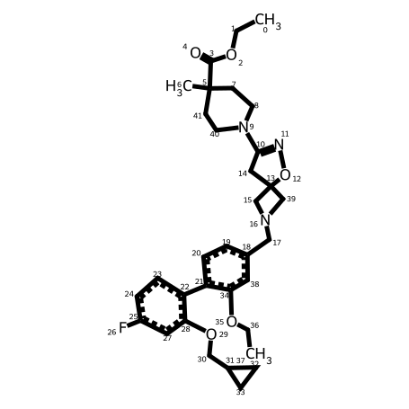 CCOC(=O)C1(C)CCN(C2=NOC3(C2)CN(Cc2ccc(-c4ccc(F)cc4OCC4CC4)c(OCC)c2)C3)CC1